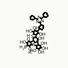 Bc1c(O)c(O)c2c3c4sc5c(O)c(O)c(-c6cccc(-c7nc(-c8ccccc8)nc(-c8ccccc8)n7)c6)c(O)c5c4c(O)c4c5c(O)c(O)c(O)c(O)c5n(c2c1O)c43